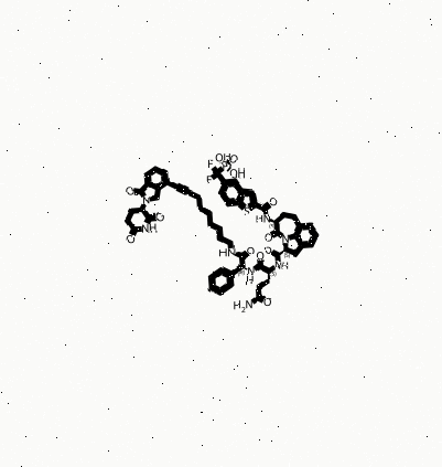 NC(=O)CC[C@H](NC(=O)[C@@H]1Cc2cccc3c2N1C(=O)[C@@H](NC(=O)c1cc2cc(C(F)(F)P(=O)(O)O)ccc2s1)CC3)C(=O)N[C@@H](C(=O)NCCCCCCCC#Cc1cccc2c1CN(C1CCC(=O)NC1=O)C2=O)c1ccccc1